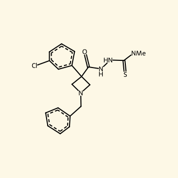 CNC(=S)NNC(=O)C1(c2cccc(Cl)c2)CN(Cc2ccccc2)C1